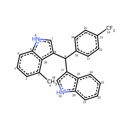 Cc1cccc2[nH]cc(C(c3ccc(C(F)(F)F)cc3)c3c[nH]c4ccccc34)c12